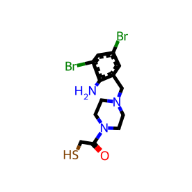 Nc1c(Br)cc(Br)cc1CN1CCN(C(=O)CS)CC1